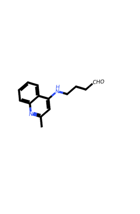 Cc1cc(NCCCC=O)c2ccccc2n1